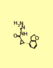 NN=CNC(=O)[C@@H]1C[C@H]1c1cccc2c1CCO2